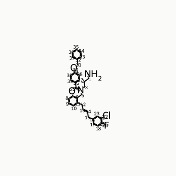 NCCCN(Cc1ccccc1C/C=C/Cc1ccc(F)c(Cl)c1)C(=O)c1ccc(OCc2ccccc2)cc1